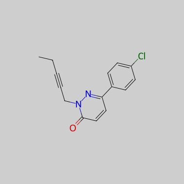 CCC#CCn1nc(-c2ccc(Cl)cc2)ccc1=O